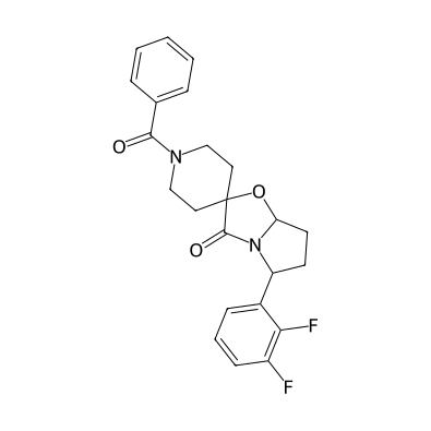 O=C(c1ccccc1)N1CCC2(CC1)OC1CCC(c3cccc(F)c3F)N1C2=O